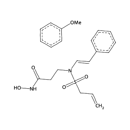 C=CCS(=O)(=O)N(C=Cc1ccccc1)CCC(=O)NO.COc1ccccc1